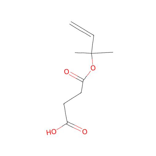 C=CC(C)(C)OC(=O)CCC(=O)O